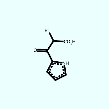 CCC(C(=O)O)C(=O)c1ccc[nH]1